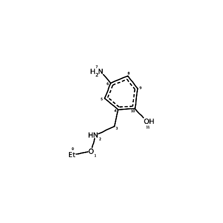 CCONCc1cc(N)ccc1O